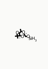 CC1O[C@@](C)(CO[SiH3])O[C@@](C)(C(C)(C)C)C1=O